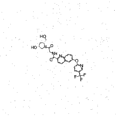 O=C(NCC(=O)N1C[C@H](O)C[C@@H]1CO)c1ccc2cc(Oc3ccc(C(F)(F)F)cn3)ccc2n1